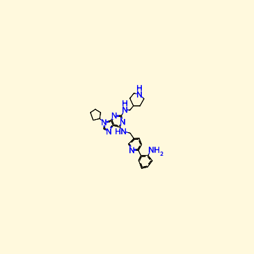 Nc1ccccc1-c1ccc(CNc2nc(NCC3CCNCC3)nc3c2ncn3C2CCCC2)cn1